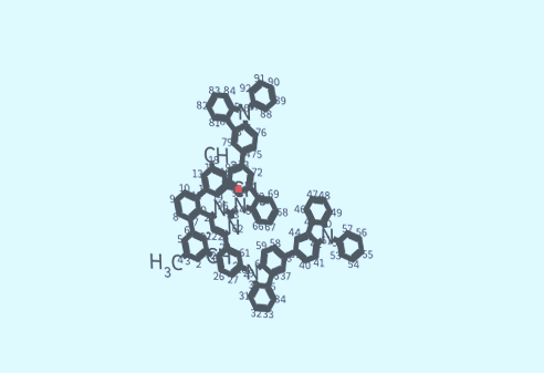 Cc1cc(C)cc(-c2cccc(-c3cc(C)cc(C)c3)c2-c2cc(-c3cccc(-n4c5ccccc5c5cc(-c6ccc7c(c6)c6ccccc6n7-c6ccccc6)ccc54)c3)nc(-n3c4ccccc4c4cc(-c5ccc6c(c5)c5ccccc5n6-c5ccccc5)ccc43)n2)c1